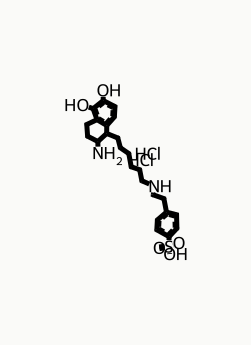 Cl.Cl.NC1CCc2c(ccc(O)c2O)C1CCCCCCNCCc1ccc(S(=O)(=O)O)cc1